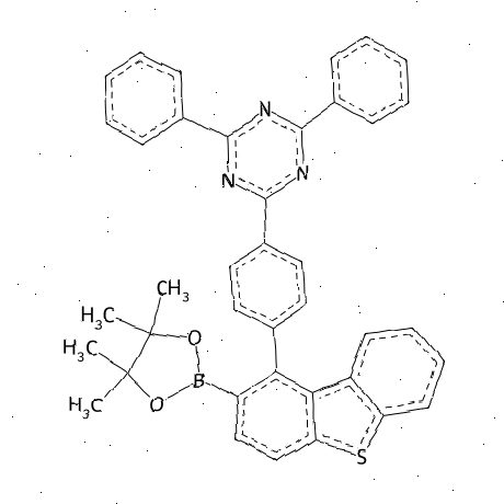 CC1(C)OB(c2ccc3sc4ccccc4c3c2-c2ccc(-c3nc(-c4ccccc4)nc(-c4ccccc4)n3)cc2)OC1(C)C